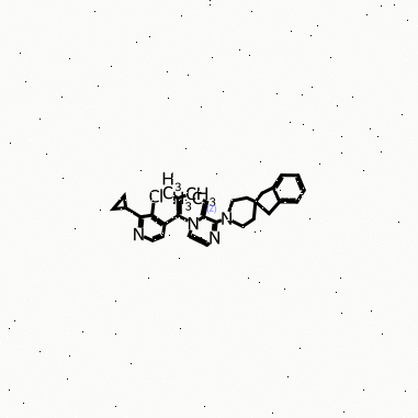 C/C=C1/C(N2CCC3(CC2)Cc2ccccc2C3)=NC=CN1C(=C(C)C)c1ccnc(C2CC2)c1Cl